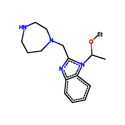 CCOC(C)n1c(CN2CCCNCC2)nc2ccccc21